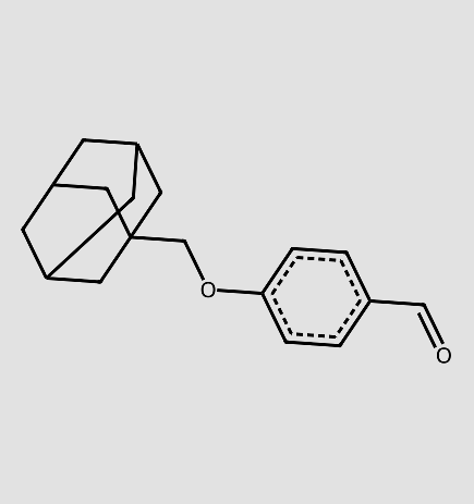 O=Cc1ccc(OCC23CC4CC(CC(C4)C2)C3)cc1